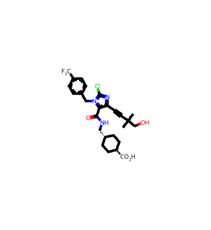 CC(C)(C#Cc1nc(Cl)n(Cc2ccc(C(F)(F)F)cc2)c1C(=O)NC[C@H]1CC[C@H](C(=O)O)CC1)CO